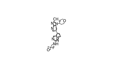 Cc1nc2ncc(-c3ccn4nc(NCC5(F)COC5)ncc34)cc2n1C1CCOCC1